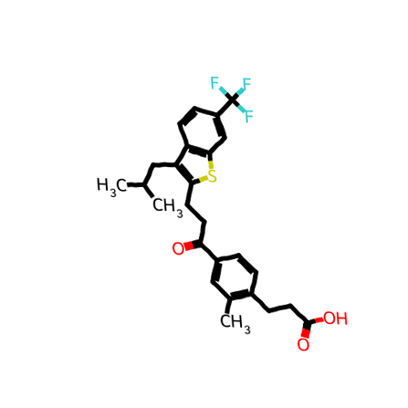 Cc1cc(C(=O)CCc2sc3cc(C(F)(F)F)ccc3c2CC(C)C)ccc1CCC(=O)O